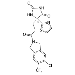 O=C1NC(=O)[C@@](CCC(=O)N2Cc3cc(Cl)c(C(F)(F)F)cc3C2)(c2nccs2)N1